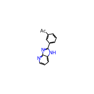 CC(=O)c1cccc(-c2nc3ncccc3[nH]2)c1